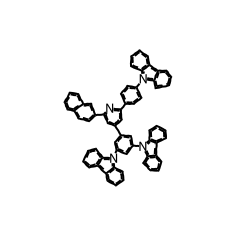 c1ccc2cc(-c3cc(-c4cc(-n5c6ccccc6c6ccccc65)cc(-n5c6ccccc6c6ccccc65)c4)cc(-c4ccc(-n5c6ccccc6c6ccccc65)cc4)n3)ccc2c1